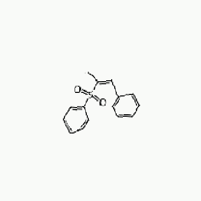 [CH2]/C(=C/c1ccccc1)S(=O)(=O)c1ccccc1